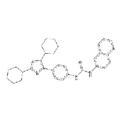 O=C(Nc1ccc(-n2nc(C3CCCCC3)cc2C2CCCCC2)cc1)Nc1ccc2ncccc2c1